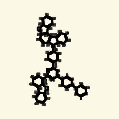 c1ccc(-c2ccc(-c3cc(-c4ccc(-n5c6ccccc6c6c7c(ccc65)oc5ccccc57)cc4)nc(-c4cccc5c4oc4ccccc45)n3)cc2)cc1